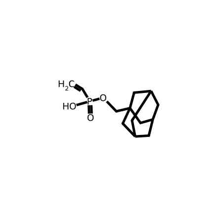 C=CP(=O)(O)OCC12CC3CC(CC(C3)C1)C2